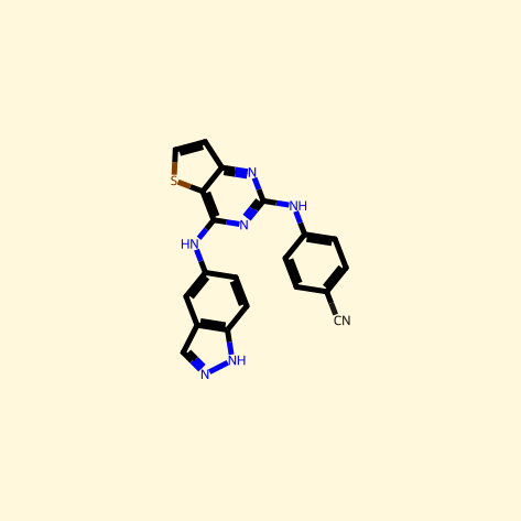 N#Cc1ccc(Nc2nc(Nc3ccc4[nH]ncc4c3)c3sccc3n2)cc1